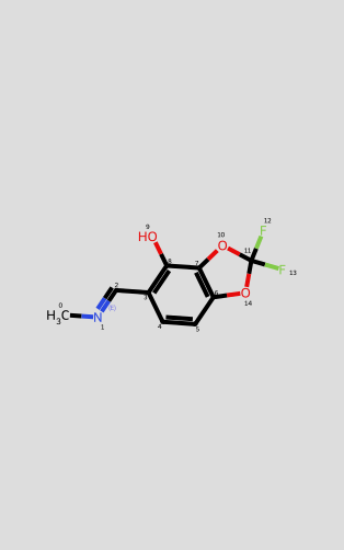 C/N=C/c1ccc2c(c1O)OC(F)(F)O2